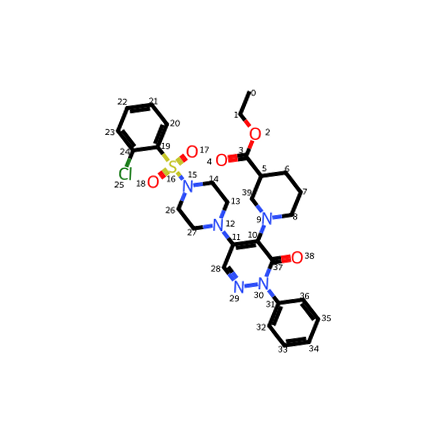 CCOC(=O)C1CCCN(c2c(N3CCN(S(=O)(=O)c4ccccc4Cl)CC3)cnn(-c3ccccc3)c2=O)C1